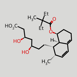 CCC(C)(CC)C(=O)O[C@H]1CCC=C2C=C[C@H](C)[C@H](CC[C@@H](O)C[C@@H](O)CC(=O)O)[C@H]21